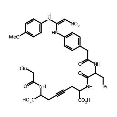 COc1ccc(NC(=C[N+](=O)[O-])Nc2ccc(CC(=O)NC(CC(C)C)C(=O)NC(CC#CCC(NC(=O)CC(C)(C)C)C(=O)O)C(=O)O)cc2)cc1